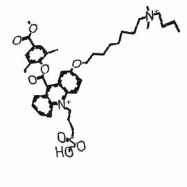 CCCC[N+](C)(C)CCCCCCCCOc1ccc2c(c1)c(C(=O)Oc1c(C)cc(C(=O)OC)cc1C)c1ccccc1[n+]2CCCS(=O)(=O)O